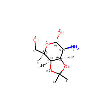 CC1(C)O[C@@H]2[C@H](N)[C@@H](O)O[C@](C)(CO)[C@@H]2O1